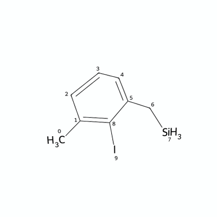 Cc1cccc(C[SiH3])c1I